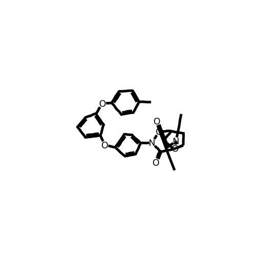 Cc1ccc(Oc2cccc(Oc3ccc(N4OC5CC6ON(C)C(=O)C5C6C4=O)cc3)c2)cc1